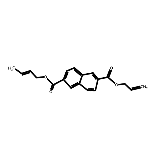 C=CCOC(=O)c1ccc2cc(C(=O)OCC=CC)ccc2c1